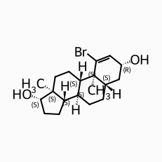 C[C@]12CC[C@H]3[C@@H](CC[C@H]4C[C@@H](O)C=C(Br)[C@@]43C)[C@@H]1CC[C@@H]2O